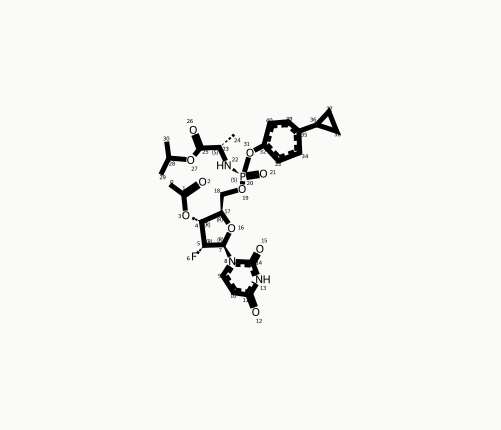 CC(=O)O[C@H]1[C@@H](F)[C@H](n2ccc(=O)[nH]c2=O)O[C@@H]1CO[P@@](=O)(N[C@@H](C)C(=O)OC(C)C)Oc1ccc(C2CC2)cc1